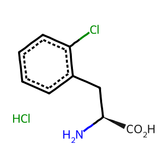 Cl.N[C@@H](Cc1ccccc1Cl)C(=O)O